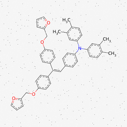 Cc1ccc(N(c2ccc(C=C(c3ccc(OCc4ccco4)cc3)c3ccc(OCc4ccco4)cc3)cc2)c2ccc(C)c(C)c2)cc1C